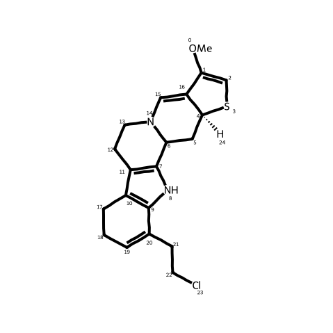 COC1=CS[C@H]2CC3c4[nH]c5c(c4CCN3C=C12)CCC=C5CCCl